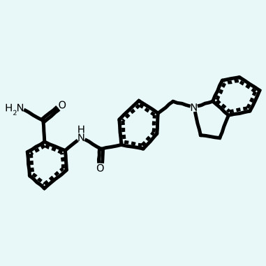 NC(=O)c1ccccc1NC(=O)c1ccc(CN2CCc3ccccc32)cc1